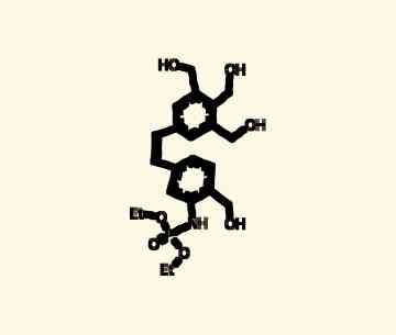 CCOP(=O)(Nc1cc(/C=C\c2cc(CO)c(CO)c(CO)c2)ccc1CO)OCC